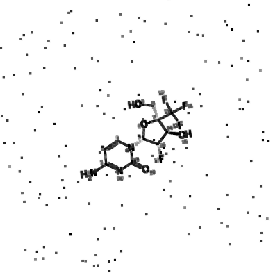 Nc1ccn([C@@H]2O[C@@](CO)(C(F)(F)F)[C@@H](O)[C@@H]2F)c(=O)n1